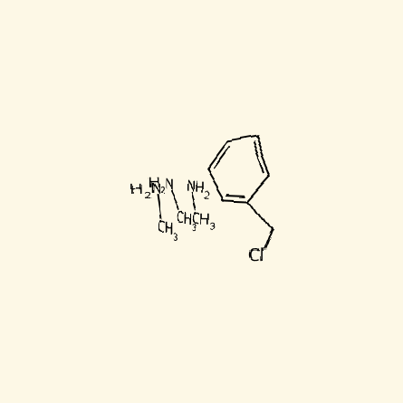 CN.CN.CN.ClCc1ccccc1